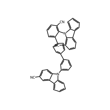 N#Cc1ccc2c(c1)c1ccccc1n2-c1cccc(-c2ccc(-c3cccc(C#N)c3-n3c4ccccc4c4cccc(C#N)c43)cc2)c1